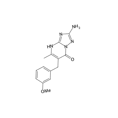 COc1cccc(Cc2c(C)[nH]c3nc(N)nn3c2=O)c1